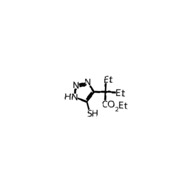 CCOC(=O)C(CC)(CC)c1nn[nH]c1S